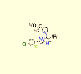 CC[C@]1(C(=O)O)CCCN(c2c(C(C)C)c(C)nc3cc(-c4ccc(Cl)cc4F)nn23)C1